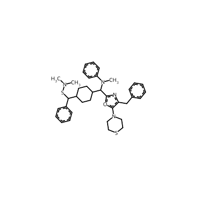 CN(C)SC(c1ccccc1)C1CCC(C(c2nc(Cc3ccccc3)c(N3CCSCC3)o2)N(C)c2ccccc2)CC1